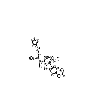 CCCC[C@@H](COCc1cccs1)NC(=O)N[C@@H](CC(=O)O)c1ccc2c(c1)OCO2